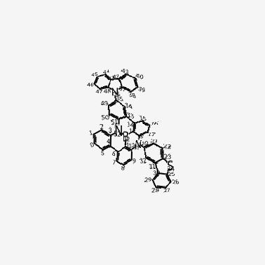 c1ccc2c(c1)-c1cccc3c1B1c4c(cccc4N3c3ccc4sc5ccccc5c4c3)-c3cc(-n4c5ccccc5c5ccccc54)ccc3N12